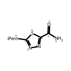 CCCC(C)c1nnc(C(N)=O)s1